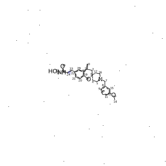 C=C1CC2(CCN(Cc3cccc(OC)c3)CC2)Oc2ccc(/C=C/C(=O)NO)cc21